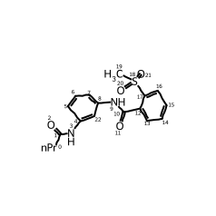 CCCC(=O)Nc1cccc(NC(=O)c2ccccc2S(C)(=O)=O)c1